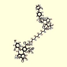 Cc1ncsc1-c1ccc([C@]2(C)NC(C3CCCN3C(=O)C(NC(=O)CCCCCCCCCCNC(=O)c3cc4c(cc3CS(C)(=O)=O)-c3cn(C)c(=O)c5[nH]cc(c35)CN4c3ncc(F)cc3F)C(C)(C)C)=NO2)cc1